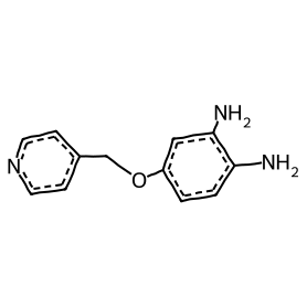 Nc1ccc(OCc2ccncc2)cc1N